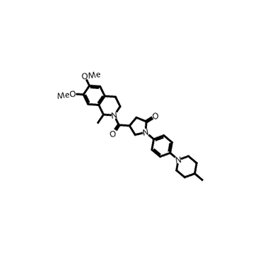 COc1cc2c(cc1OC)C(C)N(C(=O)C1CC(=O)N(c3ccc(N4CCC(C)CC4)cc3)C1)CC2